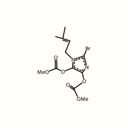 COC(=O)Oc1nc(Br)n(CC=C(C)C)c1OC(=O)OC